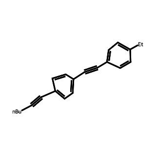 CCCCC#Cc1ccc(C#Cc2ccc(CC)cc2)cc1